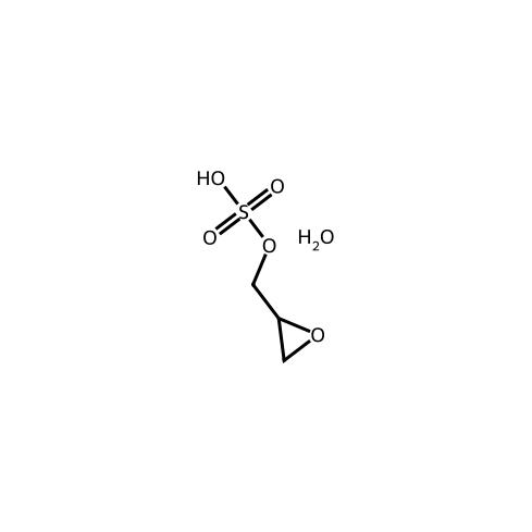 O.O=S(=O)(O)OCC1CO1